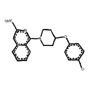 O=Cc1cc2ccccc2c(N2CCC(Oc3ccc(Cl)cc3)CC2)n1